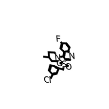 CC1CCN(c2c(S(=O)(=O)Cc3cccc(Cl)c3)cnc3ccc(F)cc23)CC1